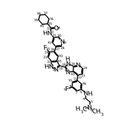 CN(C)CCNc1cc(F)cc(-c2ccnc3[nH]c(-c4n[nH]c5cc(F)c(-c6cncc(NC(=O)C7CCCCC7)c6)cc45)nc23)c1